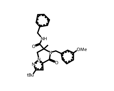 COc1cccc(CN2C(=O)c3cc(C(C)(C)C)nn3CC2(C)C(=O)NCc2ccccc2)c1